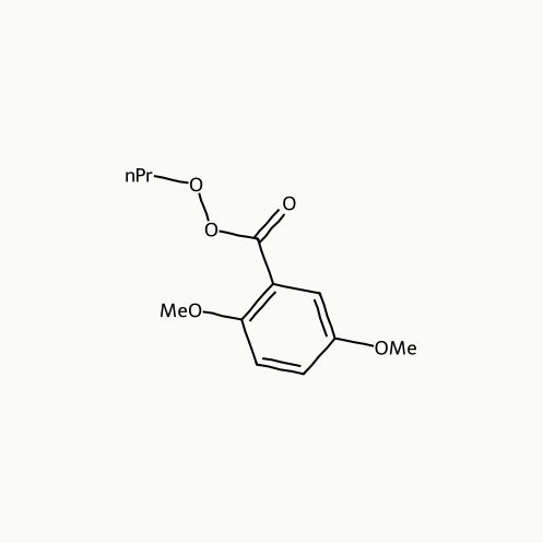 [CH2]CCOOC(=O)c1cc(OC)ccc1OC